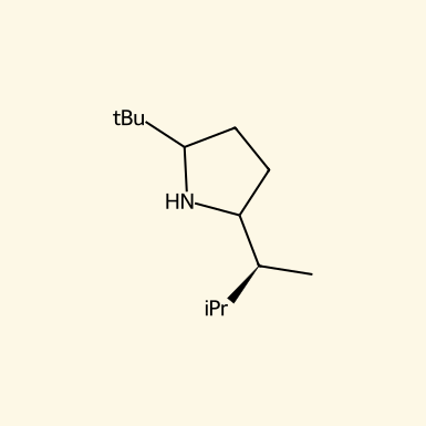 CC(C)[C@H](C)C1CCC(C(C)(C)C)N1